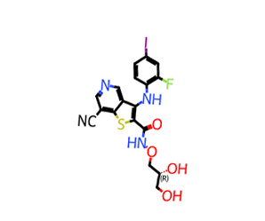 N#Cc1cncc2c(Nc3ccc(I)cc3F)c(C(=O)NOC[C@H](O)CO)sc12